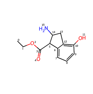 CCOC(=O)C1c2cccc(O)c2CC1N